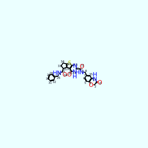 O=C1COc2ccc(CNC(=O)c3nc4sc5c(c4c(=O)[nH]3)C(C(=O)NCc3ccccc3)CC5)cc2N1